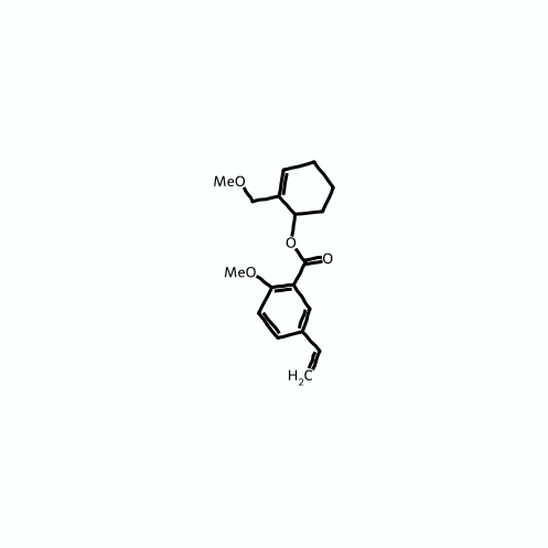 C=Cc1ccc(OC)c(C(=O)OC2CCCC=C2COC)c1